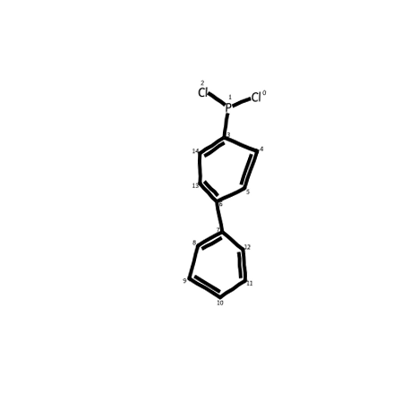 ClP(Cl)c1ccc(-c2ccccc2)cc1